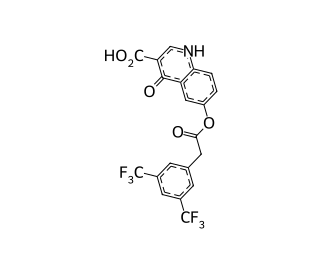 O=C(Cc1cc(C(F)(F)F)cc(C(F)(F)F)c1)Oc1ccc2[nH]cc(C(=O)O)c(=O)c2c1